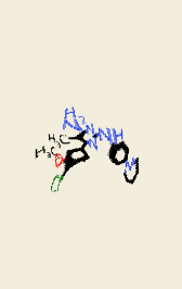 COc1cc(-c2nc(Nc3ccc(N4CCCCC4)cc3)nc(N)c2C)ccc1Cl